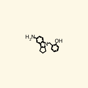 Nc1ccc2c(c1)c1c(n2Cc2ccccc2O)CCC1